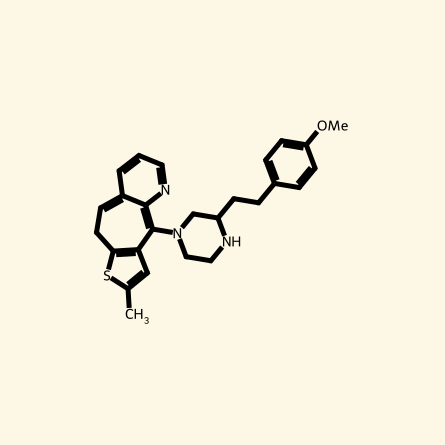 COc1ccc(CCC2CN(C3=c4ncccc4=CCc4sc(C)cc43)CCN2)cc1